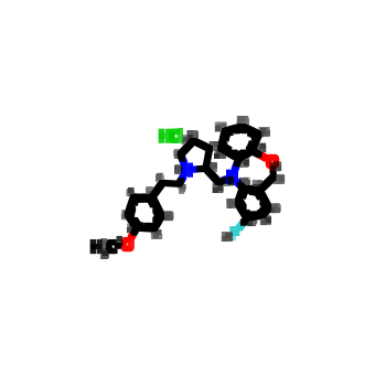 COc1ccc(CCN2CCCC2CN2c3cc(F)ccc3COc3ccccc32)cc1.Cl